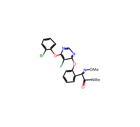 CNC(=O)C(=NOC)c1ccccc1Oc1ncnc(Oc2ccccc2Br)c1F